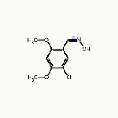 COc1cc(OC)c(/C=N\O)cc1Cl